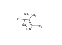 CCC(N)(N)C(C)=C(N)N